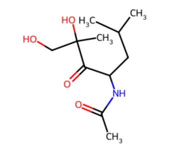 CC(=O)NC(CC(C)C)C(=O)C(C)(O)CO